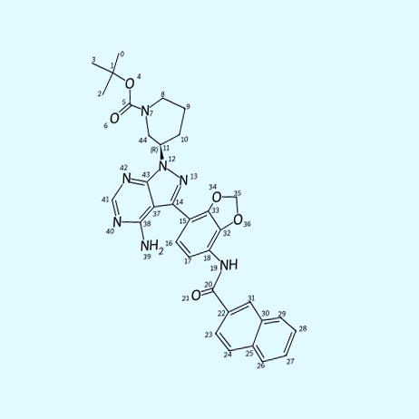 CC(C)(C)OC(=O)N1CCC[C@@H](n2nc(-c3ccc(NC(=O)c4ccc5ccccc5c4)c4c3OCO4)c3c(N)ncnc32)C1